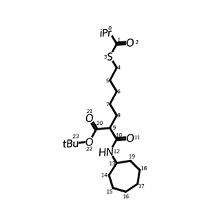 CC(C)C(=O)SCCCCCC(C(=O)NC1CCCCCC1)C(=O)OC(C)(C)C